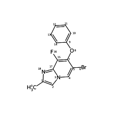 Cc1cn2cc(Br)c(Oc3ccccc3)c(F)c2n1